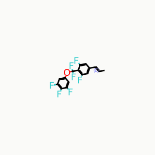 C/C=C/c1cc(F)c(C(F)(F)Oc2cc(F)c(F)c(F)c2)c(F)c1